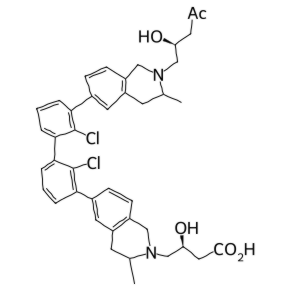 CC(=O)C[C@H](O)CN1Cc2ccc(-c3cccc(-c4cccc(-c5ccc6c(c5)CC(C)N(C[C@@H](O)CC(=O)O)C6)c4Cl)c3Cl)cc2CC1C